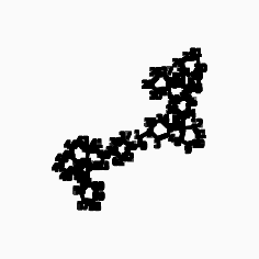 C(=C\c1ccc(N(c2ccccc2)c2ccc(-c3nc4ccccc4n3-c3ccccc3)cc2)cc1)/c1ccc(-c2cc3ccc4cccc5c4c3c(c2)n5-c2ccccc2)cc1